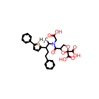 CC(C(CCc1ccccc1)c1ccc(-c2ccccc2)s1)N(CC(=O)O)C(=O)C1COC(C(=O)O)(C(=O)O)O1